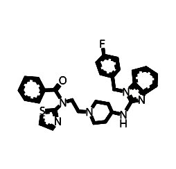 O=C(c1ccccc1)N(CCN1CCC(Nc2nc3ccccc3n2Cc2ccc(F)cc2)CC1)c1nccs1